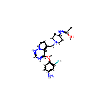 CB(O)NC1CCN(Cc2ccn3ncnc(Oc4ccc(N)cc4F)c23)CC1